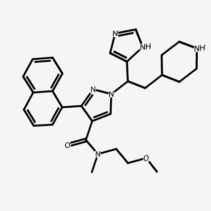 COCCN(C)C(=O)c1cn(C(CC2CCNCC2)c2cnc[nH]2)nc1-c1cccc2ccccc12